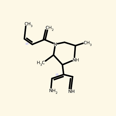 C=C(/C=C\C)N1CC(C)NC(/C(C=N)=C/N)C1C